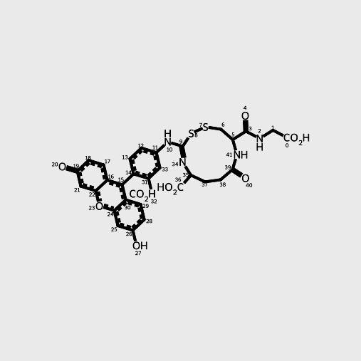 O=C(O)CNC(=O)C1CSSC(Nc2ccc(-c3c4ccc(=O)cc-4oc4cc(O)ccc34)c(C(=O)O)c2)=NC(C(=O)O)CCC(=O)N1